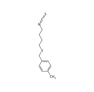 Cc1ccc(CSCCCCN=C=S)cc1